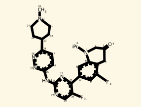 CC(C)N1CC(=O)Cc2c(F)cc(-c3nc(Nc4ccc(C5CCN(C)CC5)nn4)ncc3F)cc21